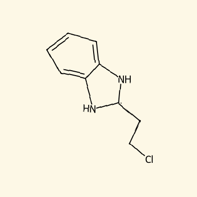 ClCC[C]1Nc2ccccc2N1